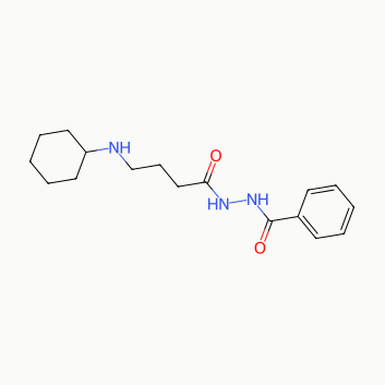 O=C(CCCNC1CCCCC1)NNC(=O)c1ccccc1